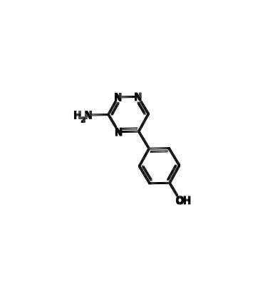 Nc1nncc(-c2ccc(O)cc2)n1